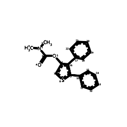 CN(C)C(=O)Oc1csc(-c2ccccc2)c1-c1ccccc1